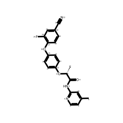 Cc1ccnc(NC(=O)[C@@H](C)Oc2ccc(Oc3ccc(C#N)cc3F)cc2)c1